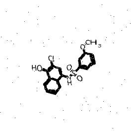 COc1cccc(S(=O)(=O)Nc2cc(Cl)c(O)c3ccccc23)c1